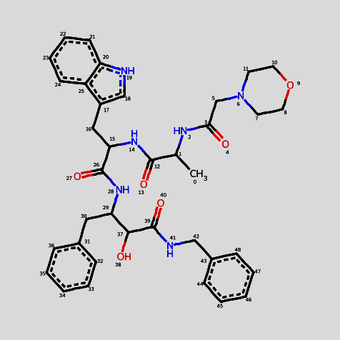 CC(NC(=O)CN1CCOCC1)C(=O)NC(Cc1c[nH]c2ccccc12)C(=O)NC(Cc1ccccc1)C(O)C(=O)NCc1ccccc1